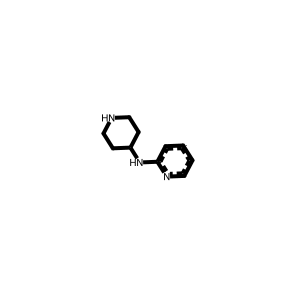 [c]1ccnc(NC2CCNCC2)c1